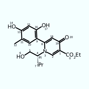 CCOC(=O)c1cn([C@@H](CO)C(C)C)c(-c2cc(C)c(O)cc2O)cc1=O